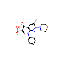 O=C(O)c1cn(-c2ccccc2)c2nc(N3CCSCC3)c(F)cc2c1=O